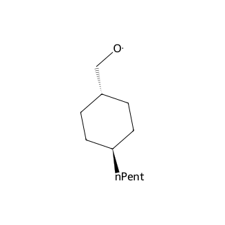 CCCCC[C@H]1CC[C@H](C[O])CC1